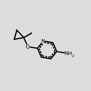 CC1(Oc2ccc(N)cn2)CC1